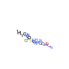 Cn1cc2c(Cl)c(Sc3cnc(N4CCC5(CCN(C(=O)CC#N)CC5N)CC4)cn3)ccc2n1